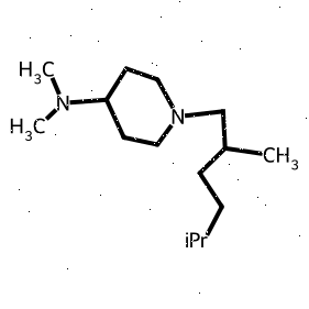 CC(C)CCC(C)CN1CCC(N(C)C)CC1